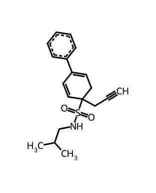 C#CCC1(S(=O)(=O)NCC(C)C)C=CC(c2ccccc2)=CC1